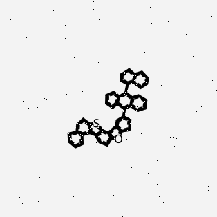 c1ccc2c(-c3c4ccccc4c(-c4ccc5oc6ccc7c(sc8ccc9ccccc9c87)c6c5c4)c4ccccc34)cccc2c1